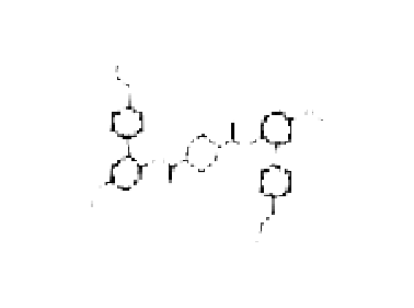 CCCc1ccc(-c2cc(OC)ccc2OC(=O)C2CCC(C(=O)Oc3ccc(OC)cc3-c3ccc(CCC)cc3)CC2)cc1